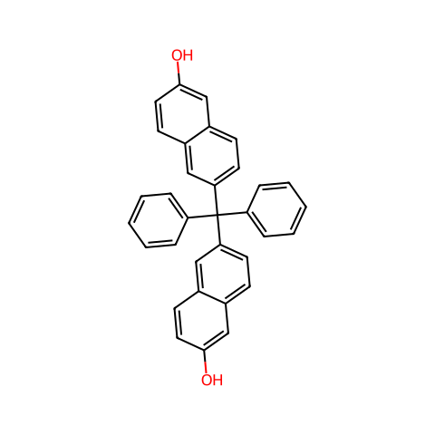 Oc1ccc2cc(C(c3ccccc3)(c3ccccc3)c3ccc4cc(O)ccc4c3)ccc2c1